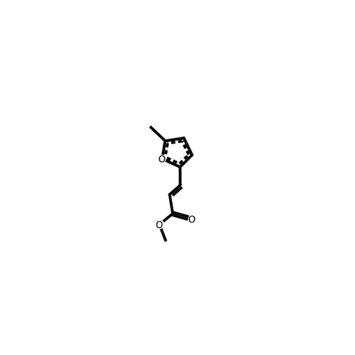 COC(=O)C=Cc1ccc(C)o1